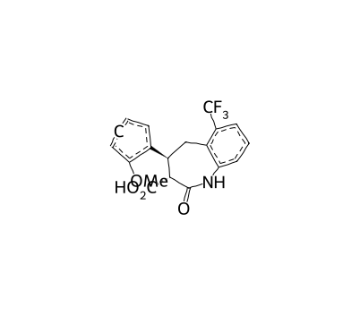 COc1ccccc1[C@H]1Cc2c(cccc2C(F)(F)F)NC(=O)[C@@H]1C(=O)O